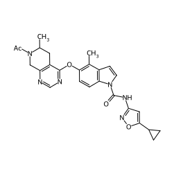 CC(=O)N1Cc2ncnc(Oc3ccc4c(ccn4C(=O)Nc4cc(C5CC5)on4)c3C)c2CC1C